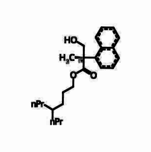 CCCC(CCC)CCCOC(=O)[C@](C)(CO)c1cccc2ccccc12